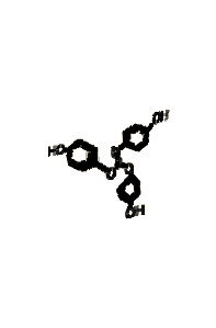 Oc1ccc(OB(Oc2ccc(O)cc2)Oc2ccc(O)cc2)cc1